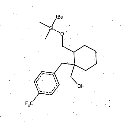 CC(C)(C)[Si](C)(C)OCC1CCCCC1(CO)Cc1ccc(C(F)(F)F)cc1